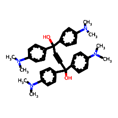 CN(C)c1ccc(C(O)(C#CC(O)(c2ccc(N(C)C)cc2)c2ccc(N(C)C)cc2)c2ccc(N(C)C)cc2)cc1